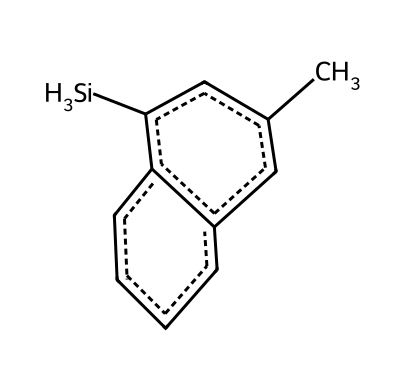 Cc1cc([SiH3])c2ccccc2c1